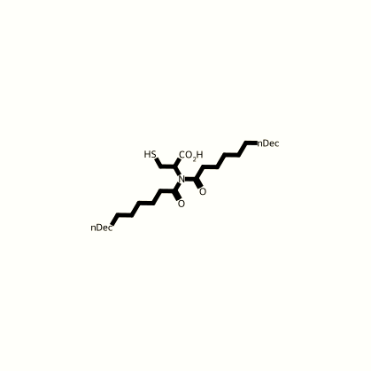 CCCCCCCCCCCCCCCC(=O)N(C(=O)CCCCCCCCCCCCCCC)C(CS)C(=O)O